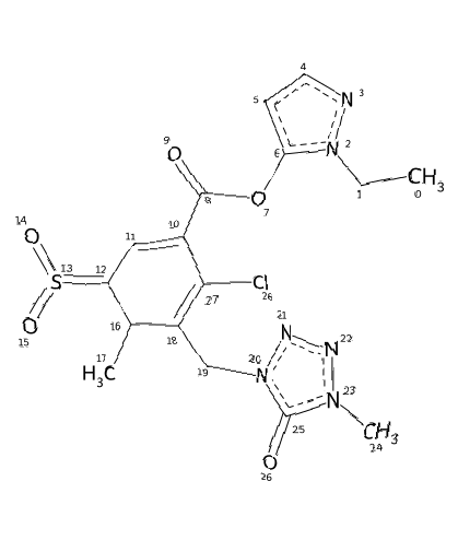 CCn1nccc1OC(=O)C1=CC(=S(=O)=O)C(C)C(Cn2nnn(C)c2=O)=C1Cl